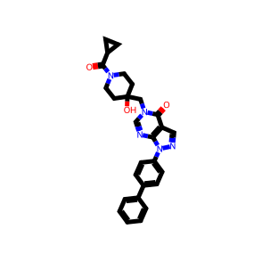 O=C(C1CC1)N1CCC(O)(Cn2cnc3c(cnn3-c3ccc(-c4ccccc4)cc3)c2=O)CC1